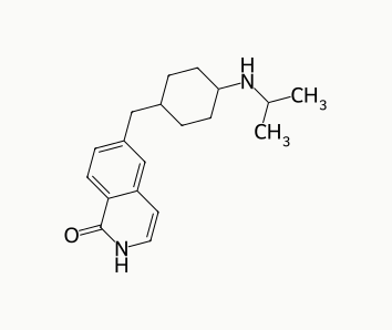 CC(C)NC1CCC(Cc2ccc3c(=O)[nH]ccc3c2)CC1